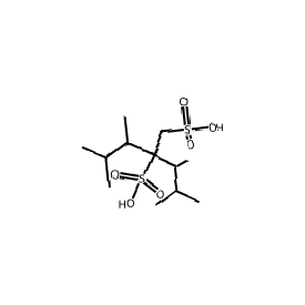 CC(C)C(C)C(CS(=O)(=O)O)(C(C)C(C)C)S(=O)(=O)O